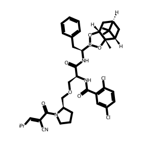 CC(C)/C=C(\C#N)C(=O)N1CCC[C@@H]1COC[C@H](NC(=O)c1cc(Cl)ccc1Cl)C(=O)N[C@@H](Cc1ccccc1)B1O[C@@H]2C[C@H]3C[C@@H](C3(C)C)[C@]2(C)O1